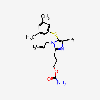 C=CCn1c(CCCOC(N)=O)nc(C(C)C)c1Sc1cc(C)cc(C)c1